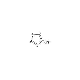 C1=CCC=C1.[Pr]